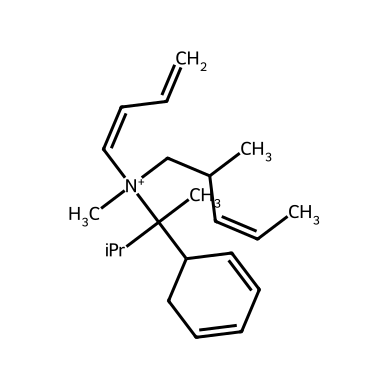 C=C/C=C\[N+](C)(CC(C)/C=C\C)C(C)(C(C)C)C1C=CC=CC1